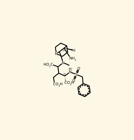 CN(C(C(=O)O)C(CC(=O)O)[C@H](NS(=O)(=O)Cc1ccccc1)C(=O)O)C1[C@@H](N)C2CCN1CC2